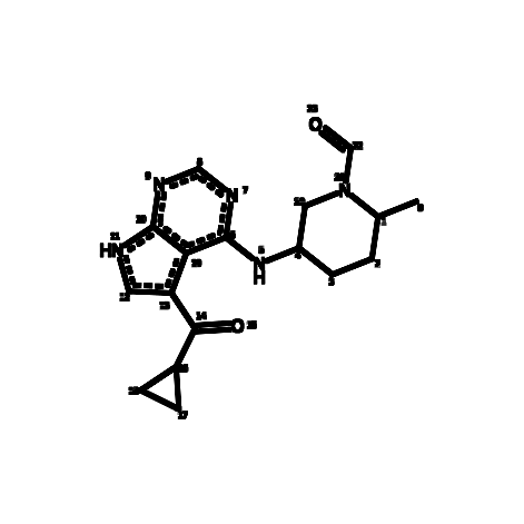 CC1CCC(Nc2ncnc3[nH]cc(C(=O)C4CC4)c23)CN1C=O